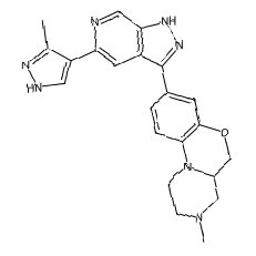 Cc1n[nH]cc1-c1cc2c(-c3ccc4c(c3)OCC3CN(C)CCN43)n[nH]c2cn1